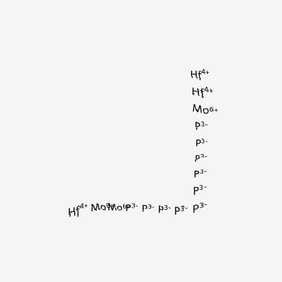 [Hf+4].[Hf+4].[Hf+4].[Mo+6].[Mo+6].[Mo+6].[P-3].[P-3].[P-3].[P-3].[P-3].[P-3].[P-3].[P-3].[P-3].[P-3]